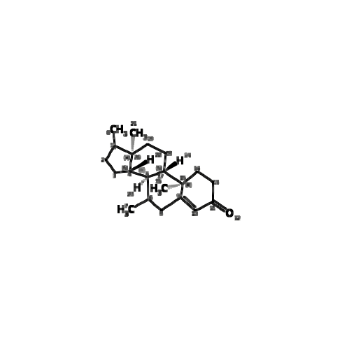 C[C]1CC[C@H]2[C@@H]3C(C)CC4=CC(=O)CC[C@]4(C)[C@H]3CC[C@]12C